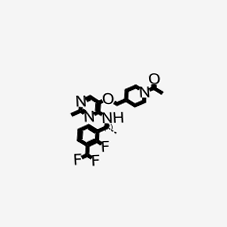 CC(=O)N1CCC(COc2cnc(C)nc2N[C@H](C)c2cccc(C(F)F)c2F)CC1